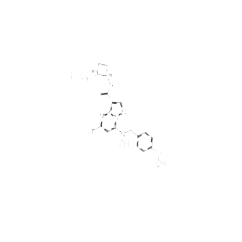 COc1ccc(CN(C)c2cc(Cl)nc3c(C(=O)N[C@@H]4CC[C@H]4OC)cnn23)cc1